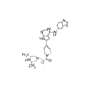 CC1CN(CC2(C(=O)N3CC=C(c4cc5c(Nc6ccc7ncsc7c6)ncnc5[nH]4)CC3)CC2)CC(C)N1